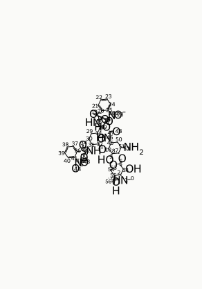 CN[C@@H]1[C@@H](O)[C@@H](O[C@@H]2[C@@H](O)[C@H](O[C@H]3O[C@H](CNS(=O)(=O)c4ccccc4[N+](=O)[O-])CC[C@H]3NS(=O)(=O)c3ccccc3[N+](=O)[O-])[C@@H](NC(=O)O)C[C@H]2N)OC[C@]1(C)O